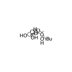 CCC(C)C(O)COC(C)C1=CC[C@H]2C3=CC=C4CC(O)CC(O)[C@]4(C)[C@H]3CC[C@]12C